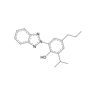 CCCc1cc(C(C)C)c(O)c(-n2nc3ccccc3n2)c1